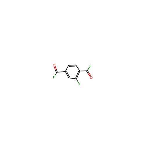 O=C(F)c1ccc(C(=O)F)c(F)c1